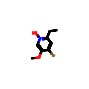 CCc1cc(Br)c(OC)c[n+]1O